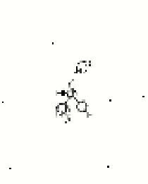 CSc1nccc(-c2[nH]c(CCCN3CCOCC3)nc2-c2ccc(F)cc2)n1